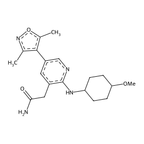 COC1CCC(Nc2ncc(-c3c(C)noc3C)cc2CC(N)=O)CC1